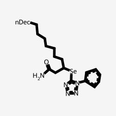 CCCCCCCCCCCCCCCCCC(CC(N)=O)[Se]c1nnnn1-c1ccccc1